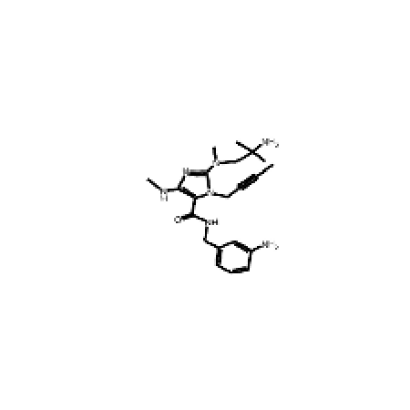 CC#CCn1c(N(C)CC(C)(C)N)nc(NC)c1C(=O)NCc1cccc(N)c1